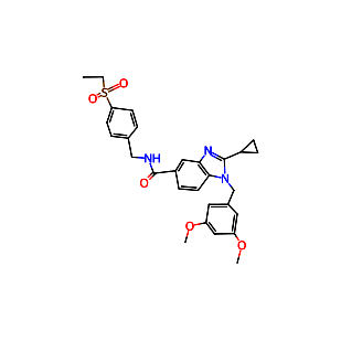 CCS(=O)(=O)c1ccc(CNC(=O)c2ccc3c(c2)nc(C2CC2)n3Cc2cc(OC)cc(OC)c2)cc1